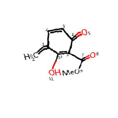 C=C1C=CC(=O)C(C(=O)OC)=C1O